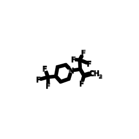 C=C(F)C(N1CCC(C(F)(F)F)CC1)C(F)(F)F